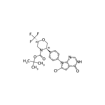 CC(C)(C)OC(=O)N1C[C@H](C(F)(F)F)OC[C@H]1c1ccc(-n2c(Cl)cc3c(=O)[nH]cnc32)cc1